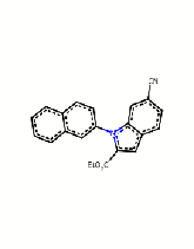 CCOC(=O)c1cc2ccc(C#N)cc2n1-c1ccc2ccccc2c1